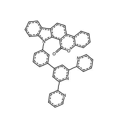 O=c1oc2ccccc2c2ccc3c4ccccc4n(-c4cccc(-c5cc(-c6ccccn6)nc(-c6ccccn6)c5)c4)c3c12